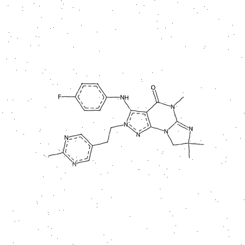 Cc1ncc(CCn2nc3c(c2Nc2ccc(F)cc2)C(=O)N(C)C2=NC(C)(C)CN23)cn1